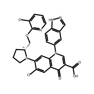 O=C(O)c1cn(-c2ccc3[nH]ncc3c2)c2cc(N3CCC[C@@H]3COc3ncccc3Cl)c(Cl)cc2c1=O